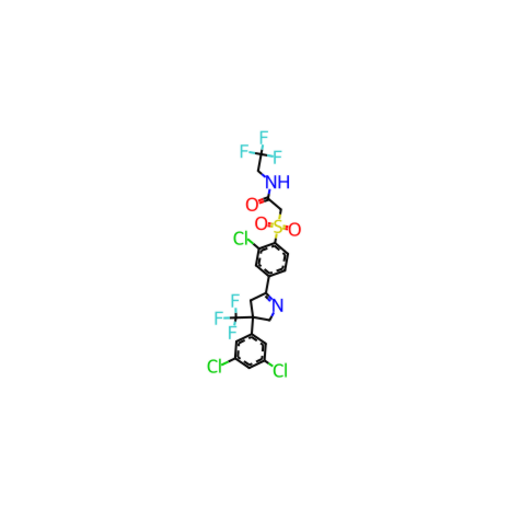 O=C(CS(=O)(=O)c1ccc(C2=NCC(c3cc(Cl)cc(Cl)c3)(C(F)(F)F)C2)cc1Cl)NCC(F)(F)F